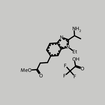 CCn1c(C(C)N)nc2ccc(CCC(=O)OC)cc21.O=C(O)C(F)(F)F